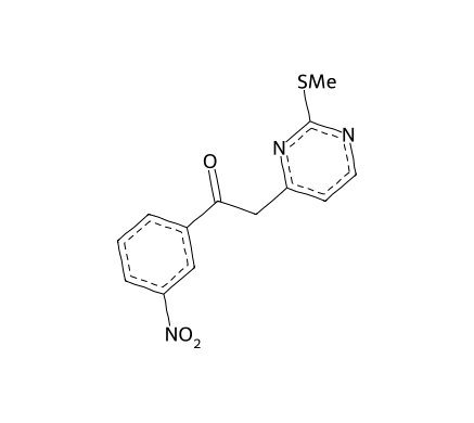 CSc1nccc(CC(=O)c2cccc([N+](=O)[O-])c2)n1